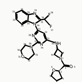 O=C([C@H]1CCCO1)N1CC(Nc2cc(-n3c(C(F)F)nc4ccccc43)nc(N3CCOCC3)n2)C1